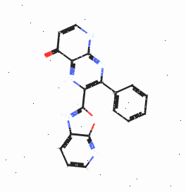 O=c1cc[nH]c2nc(-c3ccccc3)c(-c3nc4cccnc4o3)nc12